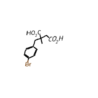 CC(CC(=O)O)(Cc1ccc(Br)cc1)C(=O)O